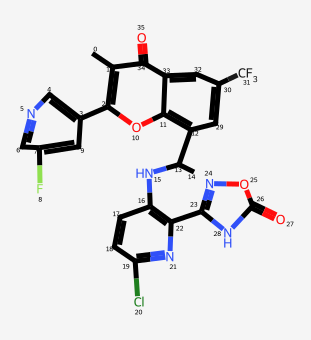 Cc1c(-c2cncc(F)c2)oc2c(C(C)Nc3ccc(Cl)nc3-c3noc(=O)[nH]3)cc(C(F)(F)F)cc2c1=O